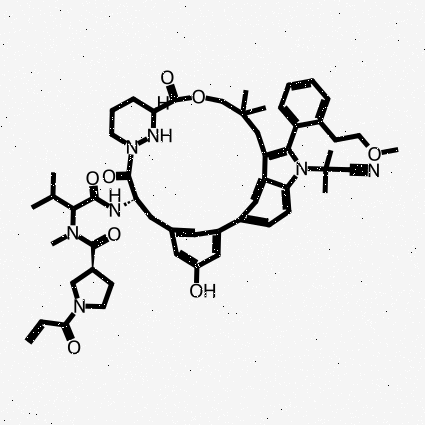 C=CC(=O)N1CC[C@H](C(=O)N(C)C(C(=O)N[C@H]2Cc3cc(O)cc(c3)-c3ccc4c(c3)c(c(-c3ccccc3CCOC)n4C(C)(C)C#N)CC(C)(C)COC(=O)[C@@H]3CCCN(N3)C2=O)C(C)C)C1